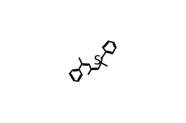 CC(=CC1(C)SC1c1ccccc1)C=C(C)c1ccccc1